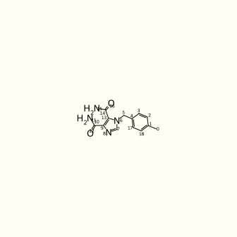 Cc1ccc(Cn2cnc(C(N)=O)c2C(N)=O)cc1